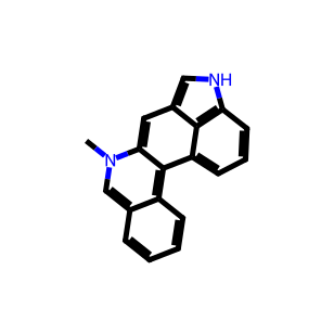 CN1C=c2ccccc2=c2c1cc1c[nH]c3cccc2c13